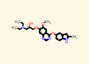 CCN(CC)C[C@@H](O)COc1cc2ncnc(Oc3ccc4[nH]c(C)cc4c3)c2cc1OC